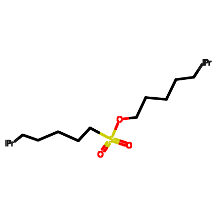 CC(C)CCCCCOS(=O)(=O)CCCCCC(C)C